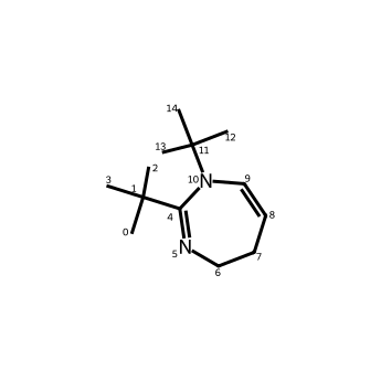 CC(C)(C)C1=NCCC=CN1C(C)(C)C